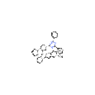 N#Cc1cc2cc3c(cc2cc1C#N)C1(c2ccccc2-c2ccc(-c4nc(-c5ccccc5)nc(-c5ccccc5)n4)cc21)c1ccccc1-3